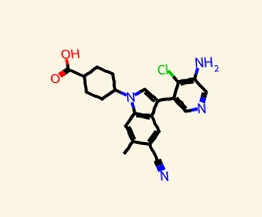 Cc1cc2c(cc1C#N)c(-c1cncc(N)c1Cl)cn2C1CCC(C(=O)O)CC1